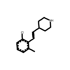 Cc1cccc(Cl)c1C=CC1CCNCC1